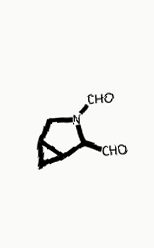 O=CC1C2CC2CN1C=O